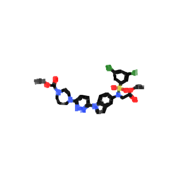 CC(C)(C)OC(=O)CN(c1ccc2c(ccn2-c2ccc(N3CCCN(C(=O)OC(C)(C)C)CC3)nn2)c1)S(=O)(=O)C1C=C(Cl)C=C(Cl)C1